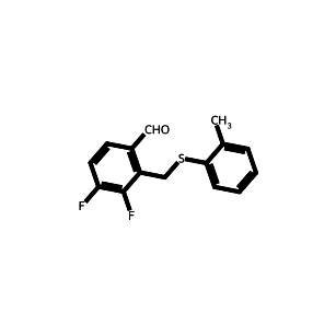 Cc1ccccc1SCc1c(C=O)ccc(F)c1F